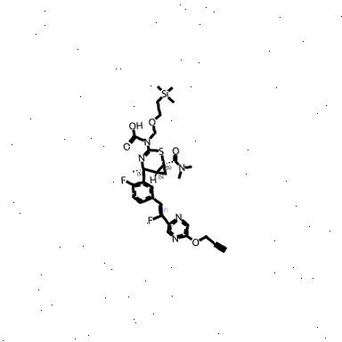 C#CCOc1cnc(/C(F)=C/c2ccc(F)c([C@@]3(C)N=C(N(COCC[Si](C)(C)C)C(=O)O)S[C@@]4(C(=O)N(C)C)C[C@H]43)c2)cn1